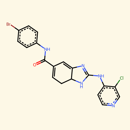 O=C(Nc1ccc(Br)cc1)C1=CCC2NC(Nc3ccncc3Cl)=NC2=C1